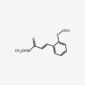 CCCCCCCCSc1ccccc1C=CC(=O)N(C)O